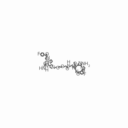 CN[C@H](C)C(=O)N[C@@H](C(=O)N1CCC[C@@H]1C1=NC(C(=O)c2ccc(F)cc2)CS1)C1CCN(CCOCCOCCC(=O)NCCn2nc3c(c2OC)-c2cnc(N)c(c2)N2CCC[C@@H]2c2cc(F)ccc2C(=O)N(C)C3)CC1